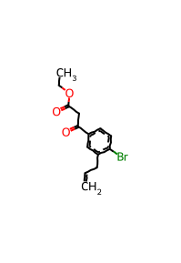 C=CCc1cc(C(=O)CC(=O)OCC)ccc1Br